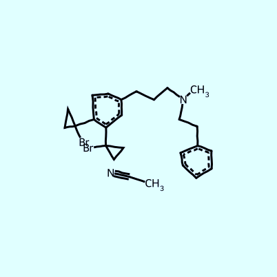 CC#N.CN(CCCc1ccc(C2(Br)CC2)c(C2(Br)CC2)c1)CCc1ccccc1